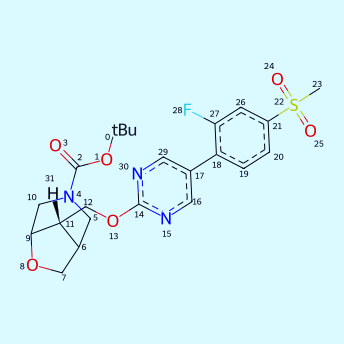 CC(C)(C)OC(=O)N1CC2COC(C1)[C@@H]2COc1ncc(-c2ccc(S(C)(=O)=O)cc2F)cn1